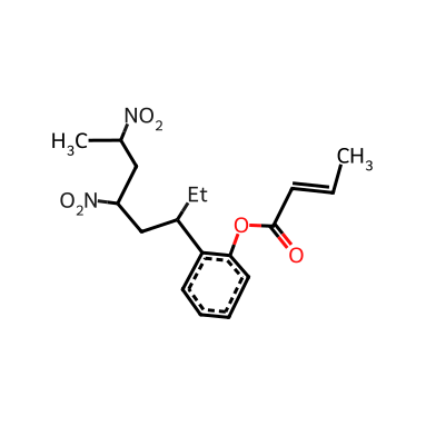 C/C=C/C(=O)Oc1ccccc1C(CC)CC(CC(C)[N+](=O)[O-])[N+](=O)[O-]